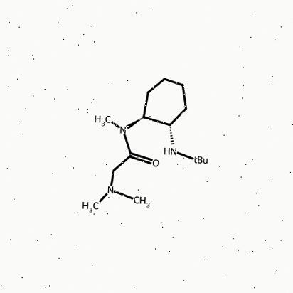 CN(C)CC(=O)N(C)[C@H]1CCCC[C@@H]1NC(C)(C)C